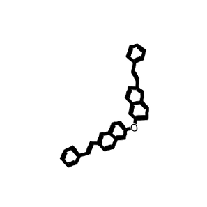 C(=C\c1ccc2cc(Oc3ccc4cc(/C=C/c5ccccc5)ccc4c3)ccc2c1)/c1ccccc1